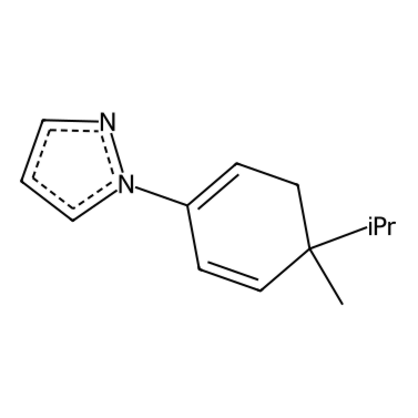 CC(C)C1(C)C=CC(n2cccn2)=CC1